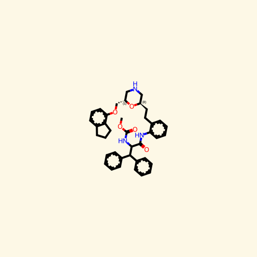 COC(=O)NC(C(=O)Nc1ccccc1CC[C@@H]1CNC[C@@H](COc2cccc3c2CCC3)O1)C(c1ccccc1)c1ccccc1